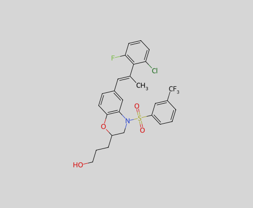 CC(=Cc1ccc2c(c1)N(S(=O)(=O)c1cccc(C(F)(F)F)c1)CC(CCCO)O2)c1c(F)cccc1Cl